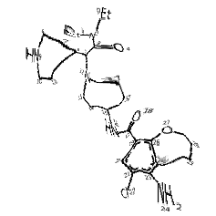 CCN(CC)C(=O)C(C1CCNCC1)N1CCC(NC(=O)c2cc(Cl)c(N)c3c2OCC3)CC1